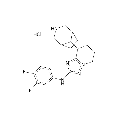 Cl.Fc1ccc(Nc2nc3n(n2)CCCC3C2C3CCC2CNC3)cc1F